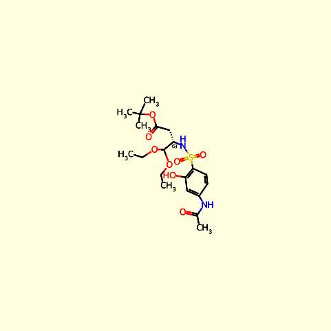 CCOC(OCC)[C@H](CC(=O)OC(C)(C)C)NS(=O)(=O)c1ccc(NC(C)=O)cc1O